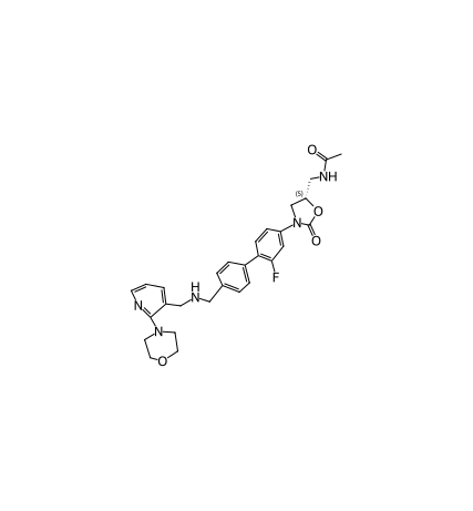 CC(=O)NC[C@H]1CN(c2ccc(-c3ccc(CNCc4cccnc4N4CCOCC4)cc3)c(F)c2)C(=O)O1